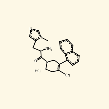 Cl.Cn1cncc1C[C@@H](N)C(=O)N1CCC(C#N)=C(c2cccc3ccccc23)C1